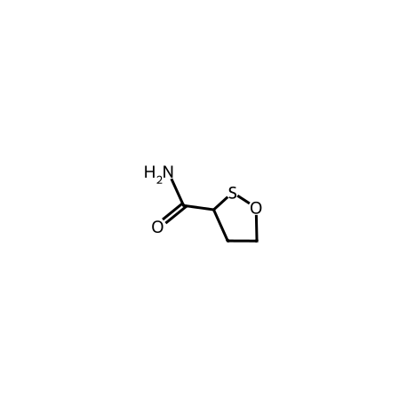 NC(=O)C1CCOS1